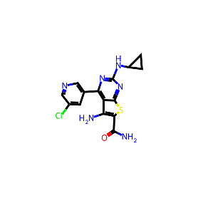 NC(=O)c1sc2nc(NC3CC3)nc(-c3cncc(Cl)c3)c2c1N